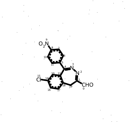 O=CC1=NN=C(c2ccc([N+](=O)[O-])cc2)c2cc(Cl)ccc2C1